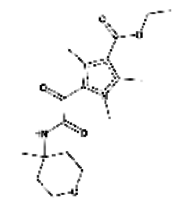 CCOC(=O)c1c(C)c(C(=O)C(=O)NC2(C)CCOCC2)n(C)c1C